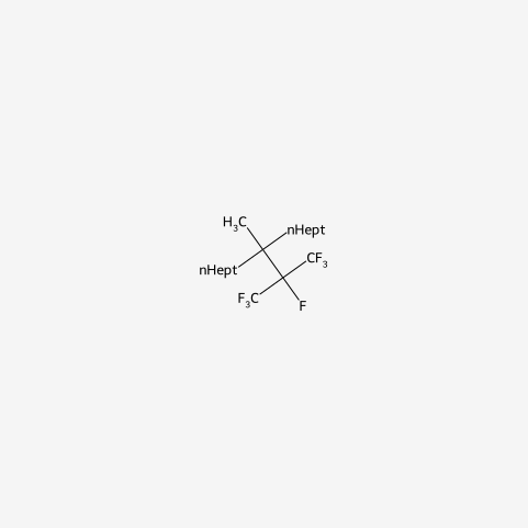 CCCCCCCC(C)(CCCCCCC)C(F)(C(F)(F)F)C(F)(F)F